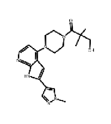 Cn1cc(-c2cc3c(N4CCN(C(=O)C(C)(C)CO)CC4)ccnc3[nH]2)cn1